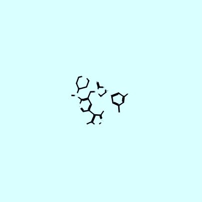 CCN(c1ncc(-c2c(C)noc2C)cc1CN1C(=O)O[C@H](c2cc(C)cc(C(F)(F)F)c2)[C@@H]1C)C1CCOCC1